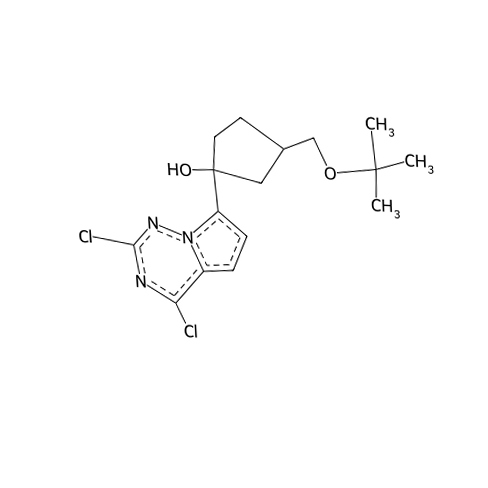 CC(C)(C)OCC1CCC(O)(c2ccc3c(Cl)nc(Cl)nn23)C1